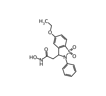 CCOc1ccc2c(c1)C(CC(=O)NO)N(c1ccccc1)S2(=O)=O